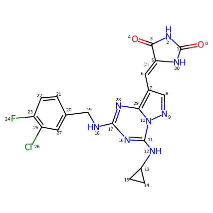 O=C1NC(=O)/C(=C/c2cnn3c(NC4CC4)nc(NCc4ccc(F)c(Cl)c4)nc23)N1